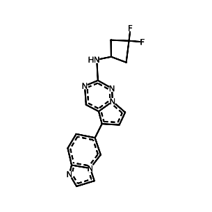 FC1(F)CC(Nc2ncc3c(-c4ccc5nccn5c4)ccn3n2)C1